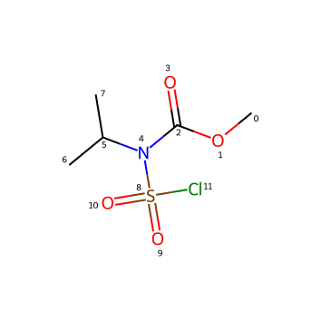 COC(=O)N(C(C)C)S(=O)(=O)Cl